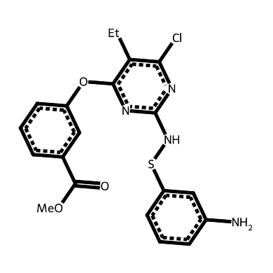 CCc1c(Cl)nc(NSc2cccc(N)c2)nc1Oc1cccc(C(=O)OC)c1